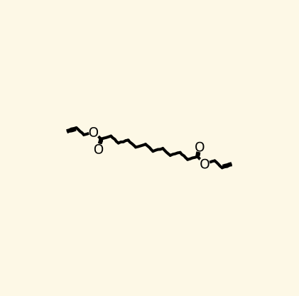 C=CCOC(=O)CCCCCCCCCCC(=O)OCC=C